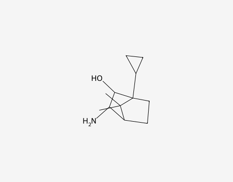 CC1(C)C2CCC1(C1CC1)C(O)C2N